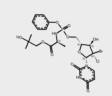 C[C@H](NP(=O)(OC[C@H]1O[C@@H](n2ccc(=O)[nH]c2=O)[C@](Cl)(Br)[C@@H]1O)Oc1ccccc1)C(=O)OCC(C)(C)O